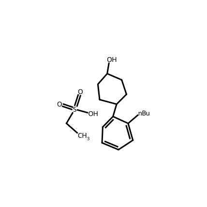 CCCCc1ccccc1C1CCC(O)CC1.CCS(=O)(=O)O